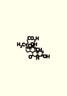 C[C@H](CCC(=O)O)[C@H]1CCC2C3C(=O)C[C@@H]4C[C@H](O)CC[C@]4(C)C3C[C@H](O)[C@@]21C